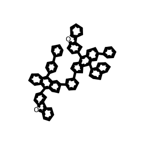 c1ccc(-c2ccc(-c3c4ccccc4c(-c4ccc5oc6ccccc6c5c4)c4ccc(-c5cccc(-c6ccc7c(-c8ccc9oc%10ccccc%10c9c8)c8ccc(-c9ccccc9)cc8c(-c8cccc9ccccc89)c7c6)c5)cc34)cc2)cc1